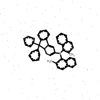 Cc1ccc2ccccc2c1B(C1=CCC2C(=C1)c1ccccc1C2(c1ccccc1)c1ccccc1)c1c(C)ccc2ccccc12